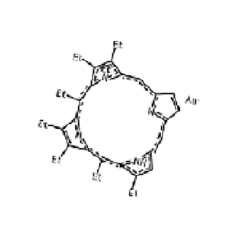 CCC1=C(CC)c2nc1c(CC)c1[nH]c(cc3nc(cc4c(CC)c(CC)c(c2CC)n4CC)C=C3)cc1CC.[Au]